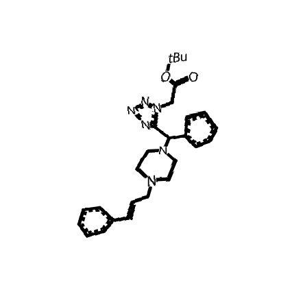 CC(C)(C)OC(=O)Cn1nnnc1C(c1ccccc1)N1CCN(CC=Cc2ccccc2)CC1